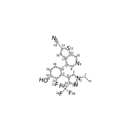 CCn1cc(-c2c(-c3cncc4sc(C#N)cc34)ccc(O)c2F)c(C(F)(F)F)n1